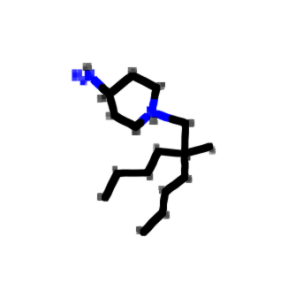 CCCCC(C)(CCCC)CN1CCC(N)CC1